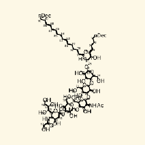 CCCCCCCCCCCCC/C=C/[C@@H](O)[C@H](CO[C@@H]1OC(CO)[C@@H](O[C@@H]2OC(CO)[C@H](O)[C@H](O[C@@H]3OC(CO)[C@@H](O[C@@H]4OC(CO)[C@H](O)[C@H](O[C@]5(C(=O)O)CC(O)[C@@H](NC(=O)CO)C([C@H](O)[C@H](O)CO)O5)C4O)[C@H](O)C3NC(C)=O)C2O)[C@H](O)C1O)NC(=O)CCCCCCCCCCCCCCCCCCCCCCCCC